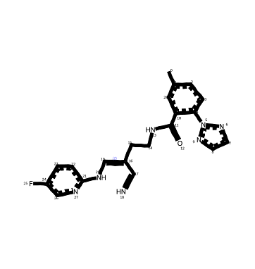 Cc1ccc(-n2nccn2)c(C(=O)NCC/C(C=N)=C/Nc2ccc(F)cn2)c1